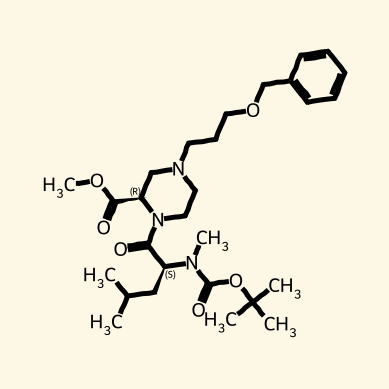 COC(=O)[C@H]1CN(CCCOCc2ccccc2)CCN1C(=O)[C@H](CC(C)C)N(C)C(=O)OC(C)(C)C